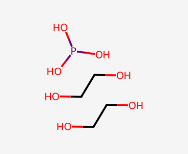 OCCO.OCCO.OP(O)O